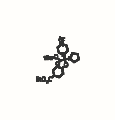 CCOC(=O)C1CCC(OC(C(=O)OC(C)(C)C)(N2CCCC2)N2CCN(C(C)=O)CC2)CC1